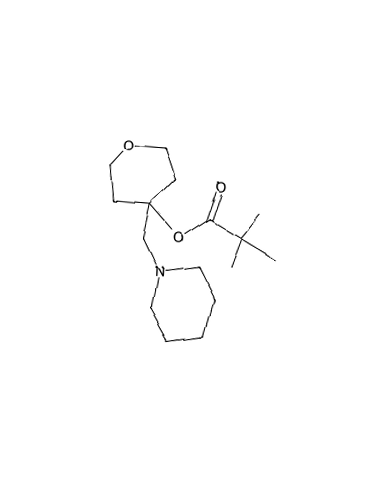 CC(C)(C)C(=O)OC1(CN2CCCCC2)CCOCC1